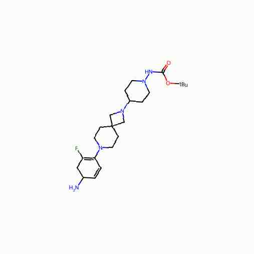 CC(C)(C)OC(=O)NN1CCC(N2CC3(CCN(C4=C(F)CC(N)C=C4)CC3)C2)CC1